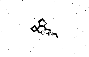 CCNCC1OCC2(CCC2)c2ccsc21